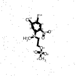 CN(CCOS(C)(=O)=O)c1cc(Cl)c(F)cc1[N+](=O)[O-]